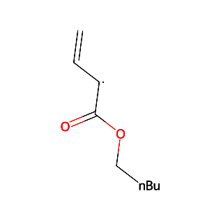 C=C[CH]C(=O)OCCCCC